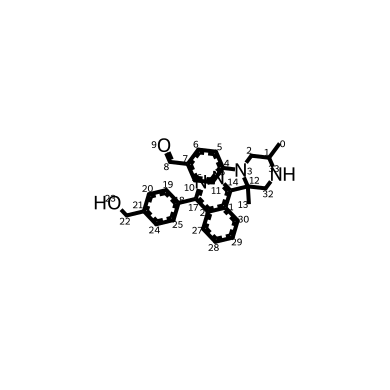 CC1CN(c2ccc(C=O)cc2)C(C)(c2nnc(-c3ccc(CO)cc3)c3ccccc23)CN1